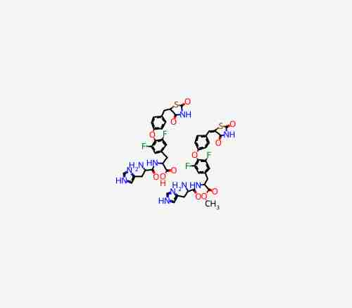 COC(=O)C(Cc1cc(F)c(Oc2ccc(C=C3SC(=O)NC3=O)cc2)c(F)c1)NC(=O)C(N)Cc1c[nH]cn1.NC(Cc1c[nH]cn1)C(=O)NC(Cc1cc(F)c(Oc2ccc(CC3SC(=O)NC3=O)cc2)c(F)c1)C(=O)O